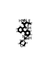 FC(F)(F)c1n[nH]cc1C1Nc2ccc3[nH]c(N4CCOCC4)nc3c2C2=C1CCCC2